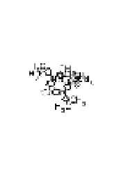 C=C(C)C(=O)Oc1ccc(N(c2ccc(C3(c4ccc(N(c5ccc(C)c(C)c5)c5ccc(C)c(C)c5)cc4)CCCCC3)cc2)c2ccc(C)c(C)c2)cc1C